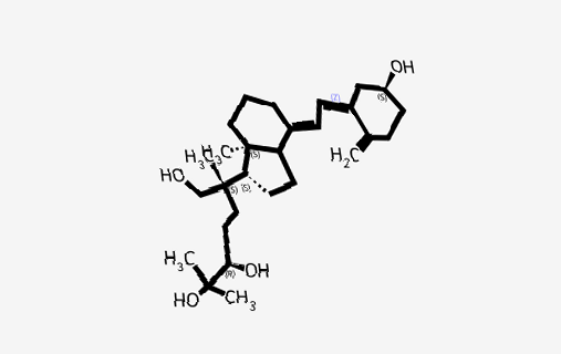 C=C1CC[C@H](O)C/C1=C/C=C1CCC[C@@]2(C)C1CC[C@@H]2[C@@](C)(CO)CC[C@@H](O)C(C)(C)O